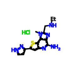 CCNCc1nc2c(N)nc3cc(-c4cc[nH]n4)sc3c2n1C.Cl